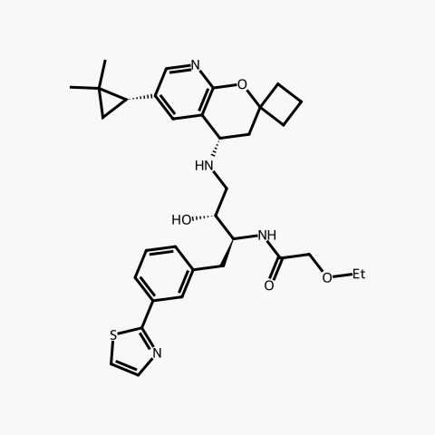 CCOCC(=O)N[C@@H](Cc1cccc(-c2nccs2)c1)[C@H](O)CN[C@H]1CC2(CCC2)Oc2ncc([C@@H]3CC3(C)C)cc21